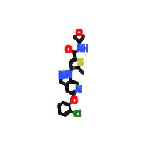 Cc1sc(C(=O)NC2COC2)cc1-n1ncc2cc(Oc3ccccc3Cl)ncc21